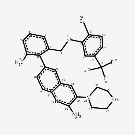 Cc1cccc(COc2cc(C(F)(F)F)ccc2Cl)c1-c1ccc2nc(N)c(N3CCOCC3)cc2c1